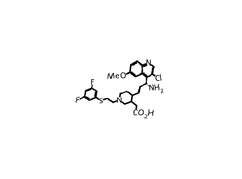 COc1ccc2ncc(Cl)c([C@H](N)CCC3CCN(CCSc4cc(F)cc(F)c4)CC3CC(=O)O)c2c1